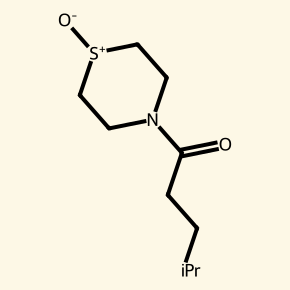 CC(C)CCC(=O)N1CC[S+]([O-])CC1